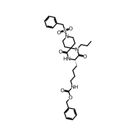 CCCN1C(=O)[C@H](CCCCNC(=O)OCc2ccccc2)NC(=O)C12CCN(S(=O)(=O)Cc1ccccc1)CC2